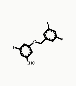 O=Cc1cc(F)cc(OCc2cc(F)cc(Cl)c2)c1